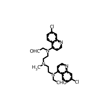 CN(CCN(CC=O)c1ccnc2cc(Cl)ccc12)CCN(CC=O)c1ccnc2cc(Cl)ccc12